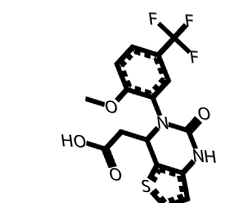 COc1ccc(C(F)(F)F)cc1N1C(=O)Nc2ccsc2C1CC(=O)O